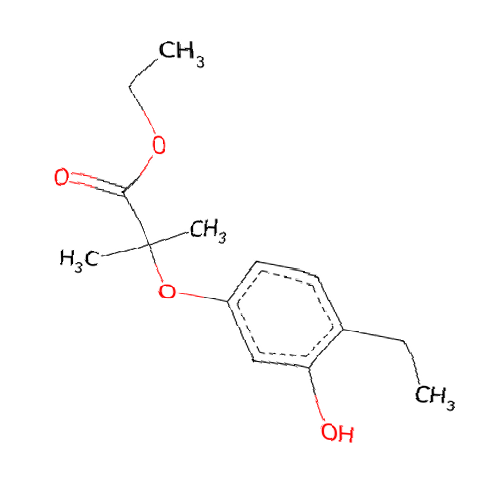 CCOC(=O)C(C)(C)Oc1ccc(CC)c(O)c1